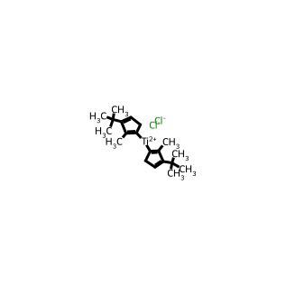 CC1=[C]([Ti+2][C]2=C(C)C(C(C)(C)C)=CC2)CC=C1C(C)(C)C.[Cl-].[Cl-]